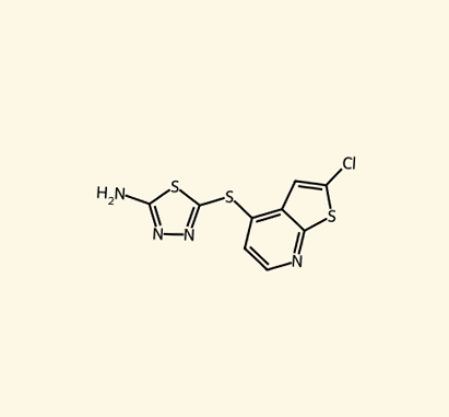 Nc1nnc(Sc2ccnc3sc(Cl)cc23)s1